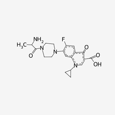 CC(N)C(=O)N1CCN(c2cc3c(cc2F)c(=O)c(C(=O)O)cn3C2CC2)CC1